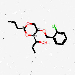 CCC[C@H]1OC[C@@H](OCc2ccccc2Cl)[C@@H](C(O)CC)O1